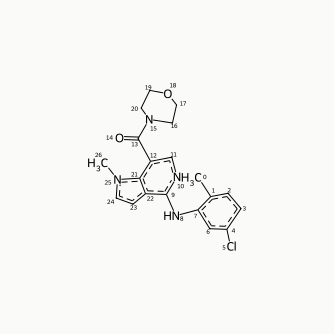 Cc1ccc(Cl)cc1Nc1ncc(C(=O)N2CCOCC2)c2c1ccn2C